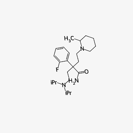 CC1CCCCN1CCC(CCN(C(C)C)C(C)C)(C(N)=O)c1ccccc1F